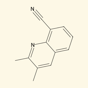 Cc1cc2cccc(C#N)c2nc1C